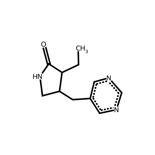 CCC1C(=O)NCC1Cc1cncnc1